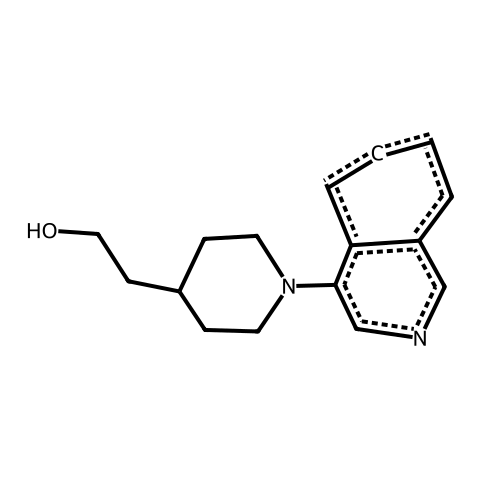 OCCC1CCN(c2cncc3ccccc23)CC1